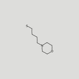 [S]CCCCN1CCOCC1